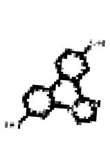 CC(C)(C)c1ccc2c3ccc(O)cc3c3nccn3c2c1